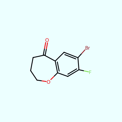 O=C1CCCOc2cc(F)c(Br)cc21